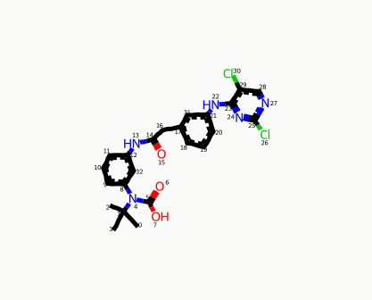 CC(C)(C)N(C(=O)O)c1cccc(NC(=O)Cc2cccc(Nc3nc(Cl)ncc3Cl)c2)c1